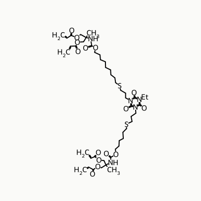 C=CC(=O)OCC(C)(COC(=O)C=C)NC(=O)OCCCCCCCCCSCCCn1c(=O)n(CC)c(=O)n(CCCSCCCCCCOC(=O)NC(C)(COC(=O)C=C)COC(=O)C=C)c1=O